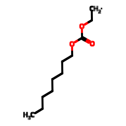 [CH2]COC(=O)OCCCCCCCC